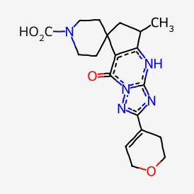 CC1CC2(CCN(C(=O)O)CC2)c2c1[nH]c1nc(C3=CCOCC3)nn1c2=O